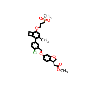 COC(=O)C[C@@H]1COc2cc(OCc3cc(-c4c(C)cc(OCCCS(C)(=O)=O)c5c4CC5)ccc3Cl)ccc21